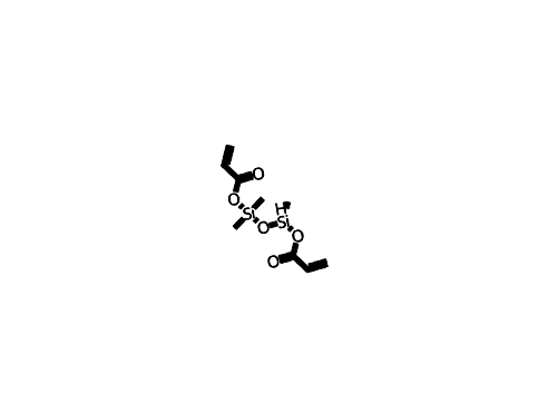 C=CC(=O)O[SiH](C)O[Si](C)(C)OC(=O)C=C